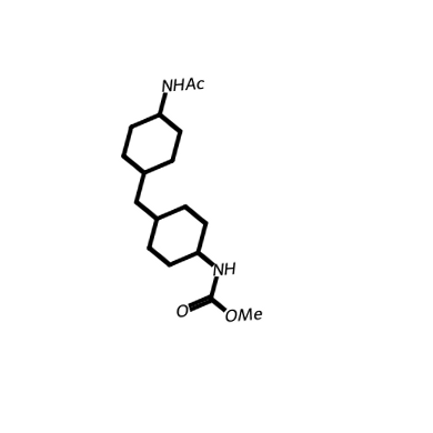 COC(=O)NC1CCC(CC2CCC(NC(C)=O)CC2)CC1